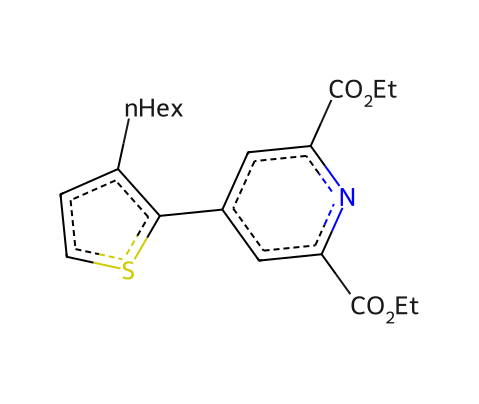 CCCCCCc1ccsc1-c1cc(C(=O)OCC)nc(C(=O)OCC)c1